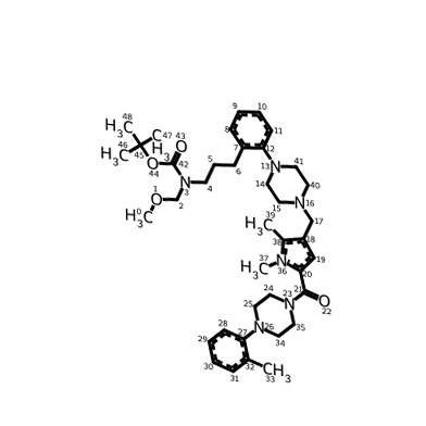 COCN(CCCc1ccccc1N1CCN(Cc2cc(C(=O)N3CCN(c4ccccc4C)CC3)n(C)c2C)CC1)C(=O)OC(C)(C)C